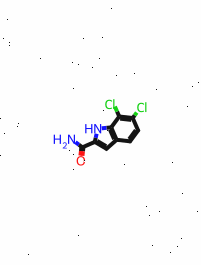 NC(=O)c1cc2ccc(Cl)c(Cl)c2[nH]1